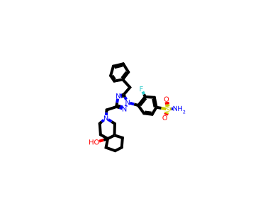 NS(=O)(=O)c1ccc(-n2nc(CN3CCC4(O)CCCCC4C3)nc2Cc2ccccc2)c(F)c1